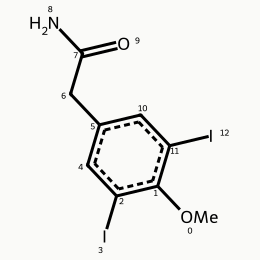 COc1c(I)cc(CC(N)=O)cc1I